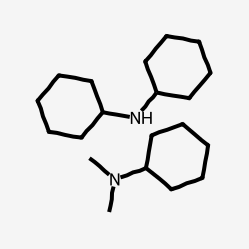 C1CCC(NC2CCCCC2)CC1.CN(C)C1CCCCC1